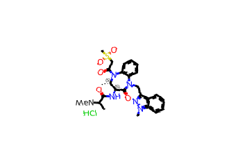 CNC(C)C(=O)N[C@@H]1C(=O)N(Cc2nn(C)c3ccccc23)c2ccccc2N(C(=O)CS(C)(=O)=O)[C@H]1C.Cl